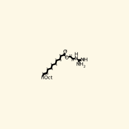 CCCCCCCCC=CCCCCCCCC(=O)OCCNC(=N)N